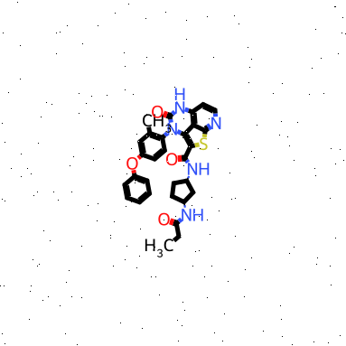 CCC(=O)N[C@@H]1CC[C@H](NC(=O)c2sc3nccc4c3c2N(c2ccc(Oc3ccccc3)cc2C)C(=O)N4)C1